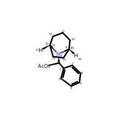 CC(=O)OC(c1ccccc1)N1[C@@H]2CCC[C@H]1CC2